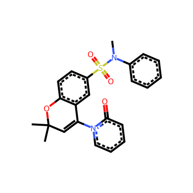 CN(c1ccccc1)S(=O)(=O)c1ccc2c(c1)C(n1ccccc1=O)=CC(C)(C)O2